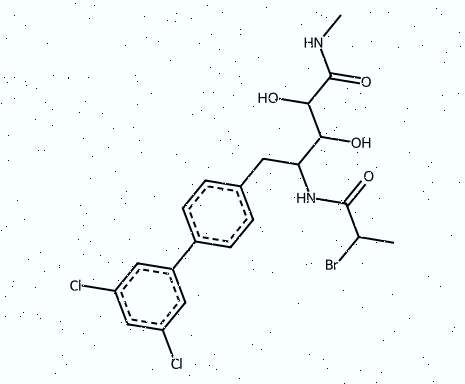 CNC(=O)C(O)C(O)C(Cc1ccc(-c2cc(Cl)cc(Cl)c2)cc1)NC(=O)C(C)Br